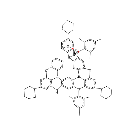 Cc1cc(C)c(N2c3cc4c(cc3B3c5cc6c(cc5Oc5cc(C7CCCCC7)cc2c53)N(c2c(C)cc(C)cc2C)c2cc(C3CCCCC3)cc3c2B6c2ccccc2O3)B2c3ccccc3Oc3cc(C5CCCCC5)cc(c32)N4)c(C)c1